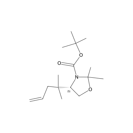 C=CCC(C)(C)[C@H]1COC(C)(C)N1C(=O)OC(C)(C)C